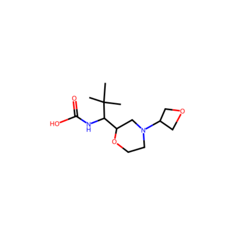 CC(C)(C)C(NC(=O)O)C1CN(C2COC2)CCO1